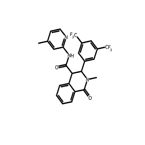 Cc1ccnc(NC(=O)C2c3ccccc3C(=O)N(C)C2c2cc(C(F)(F)F)cc(C(F)(F)F)c2)c1